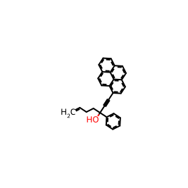 C=CCCC(O)(C#Cc1ccc2ccc3cccc4ccc1c2c34)c1ccccc1